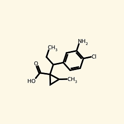 CCC(c1ccc(Cl)c(N)c1)C1(C(=O)O)CC1C